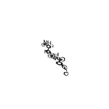 NC(=O)c1cccc(-c2cncc(NC(=O)N3CCN(C(=O)c4cccc(OCCC5CCCCC5)c4)CC3)c2)c1